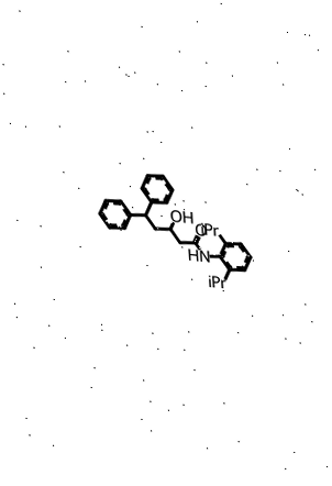 CC(C)c1cccc(C(C)C)c1NC(=O)CC(O)CC(c1ccccc1)c1ccccc1